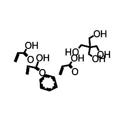 C=CC(=O)O.C=CC(=O)O.C=CC(=O)O.OCC(CO)(CO)CO.c1ccccc1